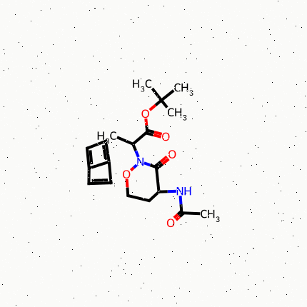 CC(=O)NC1CCON(C(C)C(=O)OC(C)(C)C)C1=O.c1cc2ccc1-2